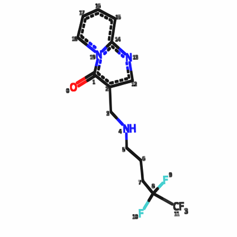 O=c1c(CNCCCC(F)(F)C(F)(F)F)cnc2ccccn12